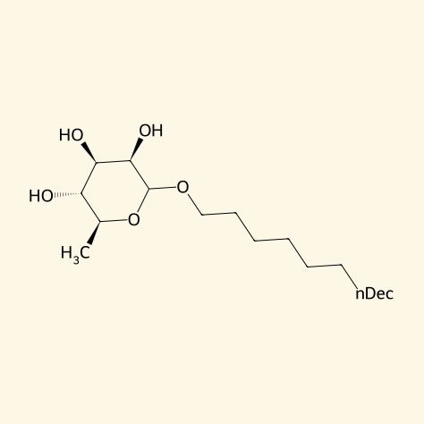 CCCCCCCCCCCCCCCCOC1O[C@@H](C)[C@H](O)[C@@H](O)[C@H]1O